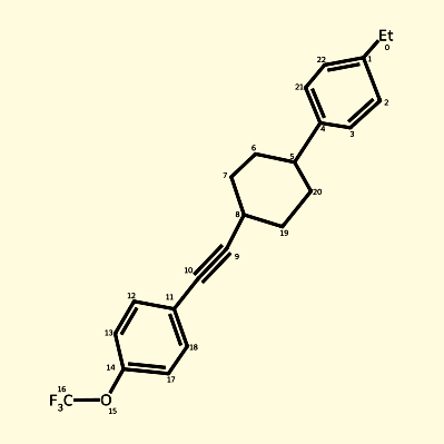 CCc1ccc(C2CCC(C#Cc3ccc(OC(F)(F)F)cc3)CC2)cc1